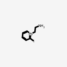 NC[CH2][Pb]1=[C](I)C=CC=[CH]1